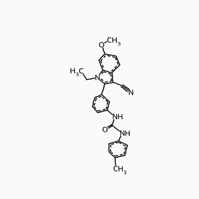 CCn1c(-c2cccc(NC(=O)Nc3ccc(C)cc3)c2)c(C#N)c2ccc(OC)cc21